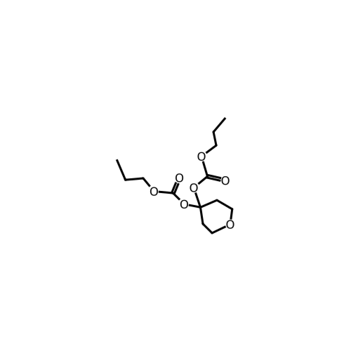 CCCOC(=O)OC1(OC(=O)OCCC)CCOCC1